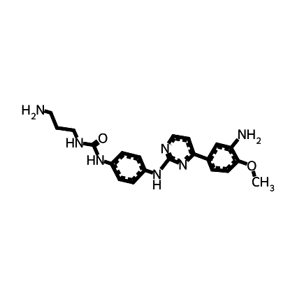 COc1ccc(-c2ccnc(Nc3ccc(NC(=O)NCCCN)cc3)n2)cc1N